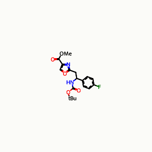 COC(=O)c1coc(CC(NC(=O)OC(C)(C)C)c2ccc(F)cc2)n1